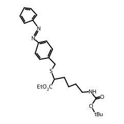 CCOC(=O)C(CCCCNC(=O)OC(C)(C)C)SCc1ccc(N=Nc2ccccc2)cc1